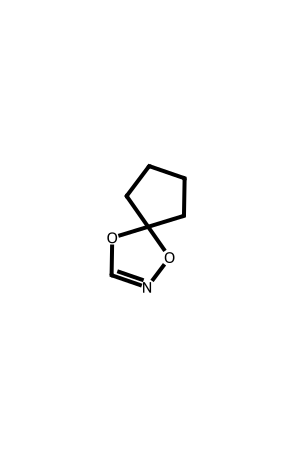 C1=NOC2(CCCC2)O1